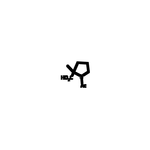 CC(=O)N1CCCC1(C)C(=O)O